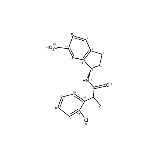 CC(C(=O)N[C@@H]1CCc2ccc(C(=O)O)cc21)c1ccccc1Cl